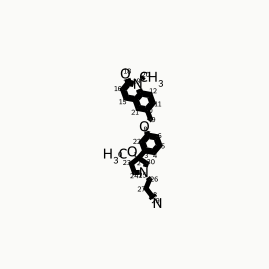 COC1(c2cccc(OCc3ccc4c(ccc(=O)n4C)c3)c2)CCN(CCC#N)C1